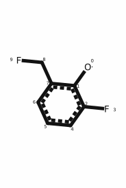 [O]c1c(F)cccc1CF